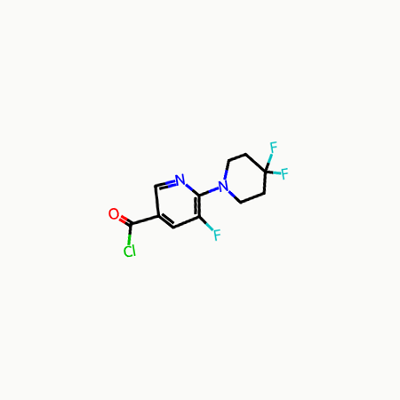 O=C(Cl)c1cnc(N2CCC(F)(F)CC2)c(F)c1